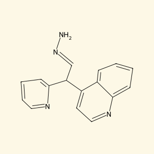 NN=CC(c1ccccn1)c1ccnc2ccccc12